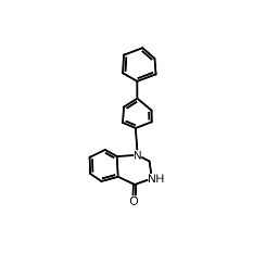 O=C1NCN(c2ccc(-c3ccccc3)cc2)c2ccccc21